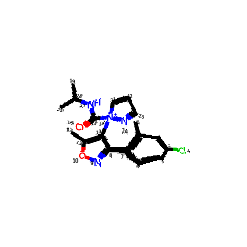 Cc1cc(Cl)ccc1-c1noc(C)c1[N+]1(C(=O)NC(C)C)C=CC=N1